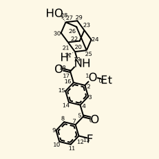 CCOc1cc(C(=O)c2ccccc2F)ccc1C(=O)N[C@H]1C2CC3CC1C[C@](O)(C3)C2